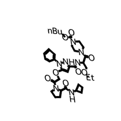 CCCCOC(=O)N1CCN(C(=O)C(COCC)NC(=O)c2cc(OCC(=O)N3CCCC3C(=O)NC3CCC3)n(-c3ccccc3)n2)CC1